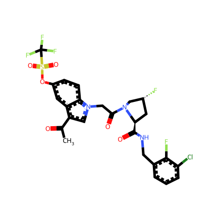 CC(=O)c1cn(CC(=O)N2C[C@H](F)C[C@H]2C(=O)NCc2cccc(Cl)c2F)c2ccc(OS(=O)(=O)C(F)(F)F)cc12